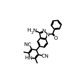 CC1=C(C#N)C(c2ccc3c(c2)c(N)nn3C(=O)c2ccccc2)C(C#N)=C(C)N1